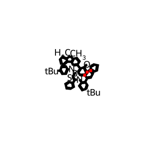 CC(C)(C)c1ccc(N2B3c4sc5ccccc5c4N(c4ccc(C(C)(C)C)cc4-c4ccccc4)c4cc5c(oc6ccccc65)c(c43)-c3ccc4c(c32)-c2ccccc2C4(C)C)cc1